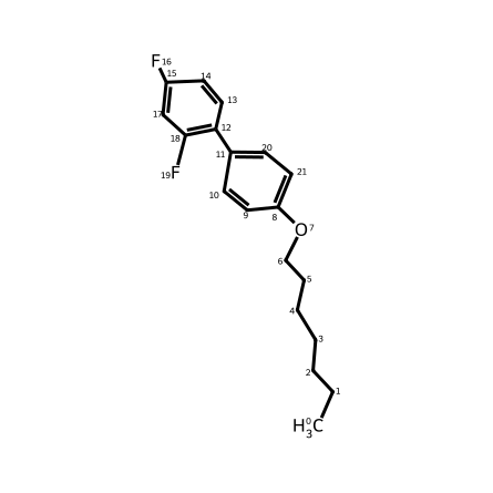 CCCCCCCOc1ccc(-c2ccc(F)cc2F)cc1